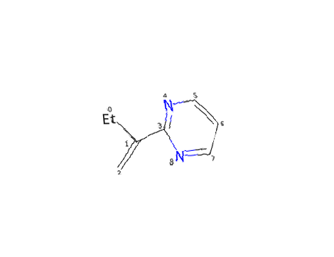 [CH2]CC(=C)c1ncccn1